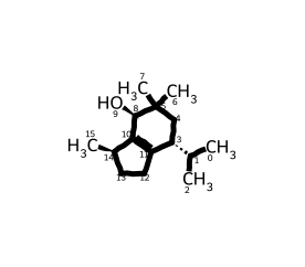 CC(C)[C@H]1CC(C)(C)[C@H](O)C2=C1CC[C@H]2C